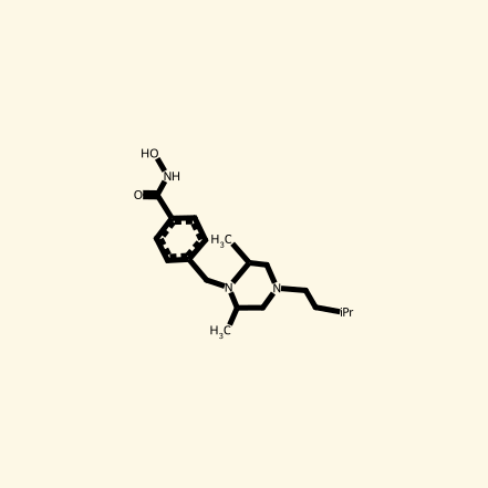 CC(C)CCN1CC(C)N(Cc2ccc(C(=O)NO)cc2)C(C)C1